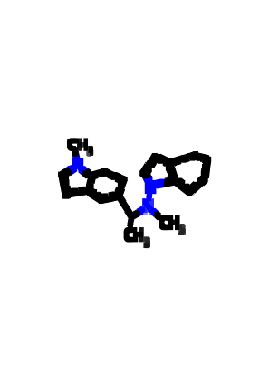 CC(c1ccc2c(ccn2C)c1)N(C)n1ccc2ccccc21